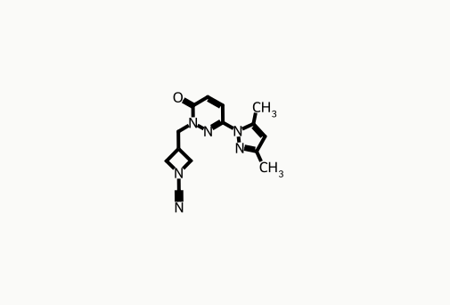 Cc1cc(C)n(-c2ccc(=O)n(CC3CN(C#N)C3)n2)n1